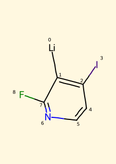 [Li][c]1c(I)ccnc1F